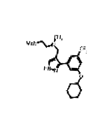 CNCCN(C)Cc1c[nH]nc1-c1cc(OC2CCCCC2)cc(C(F)(F)F)c1